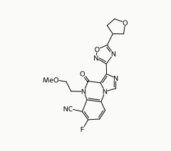 COCCn1c(=O)c2c(-c3noc(C4CCOC4)n3)ncn2c2ccc(F)c(C#N)c21